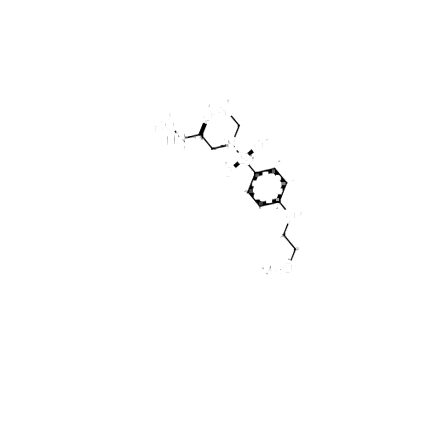 COCCOc1ccc(S(=O)(=O)N(CC(=O)NO)CC(C)C)cc1